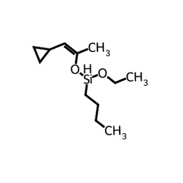 CCCC[SiH](OCC)OC(C)=CC1CC1